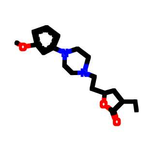 CCC1CC(CCN2CCN(c3cccc(OC)c3)CC2)OC1=O